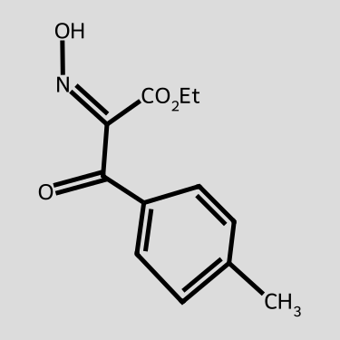 CCOC(=O)/C(=N\O)C(=O)c1ccc(C)cc1